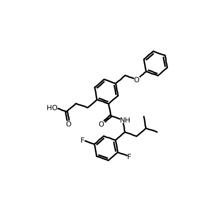 CC(C)CC(NC(=O)c1cc(COc2ccccc2)ccc1CCC(=O)O)c1cc(F)ccc1F